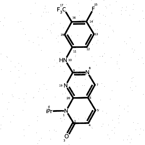 CC(C)n1c(=O)ccc2cnc(Nc3ccc(F)c(C(F)(F)F)c3)nc21